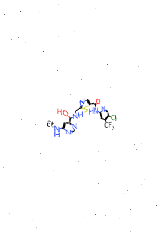 CCNc1cc(C(O)NCc2ncc(C(=O)Nc3cc(C(F)(F)F)c(Cl)cn3)s2)ncn1